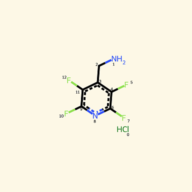 Cl.NCc1c(F)c(F)nc(F)c1F